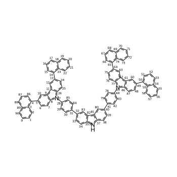 c1ccc2c(-c3ccc4c(c3)c3cc(-c5cccc6ccccc56)ccc3n4-c3ccc(-c4ccc5[nH]c6ccc(-c7ccc(-n8c9ccc(-c%10cccc%11ccccc%10%11)cc9c9cc(-c%10cccc%11ccccc%10%11)ccc98)cc7)cc6c5c4)cc3)cccc2c1